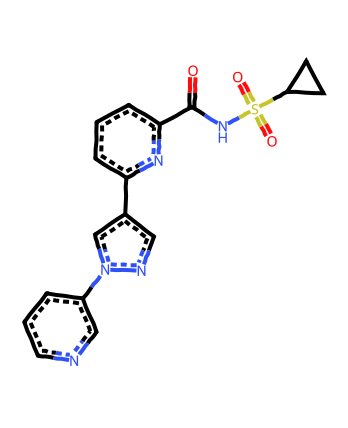 O=C(NS(=O)(=O)C1CC1)c1cccc(-c2cnn(-c3cccnc3)c2)n1